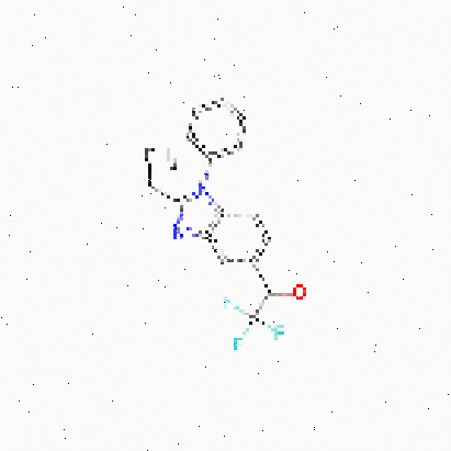 CCc1nc2cc(C(=O)C(F)(F)F)ccc2n1-c1c[c]ccc1